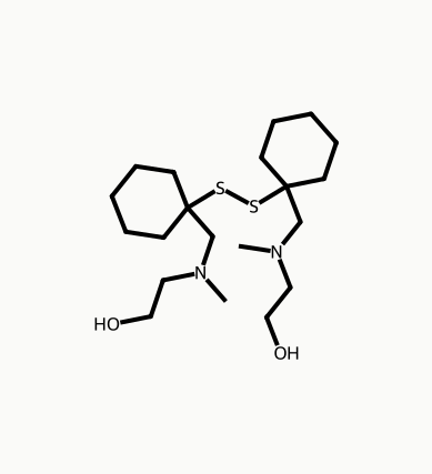 CN(CCO)CC1(SSC2(CN(C)CCO)CCCCC2)CCCCC1